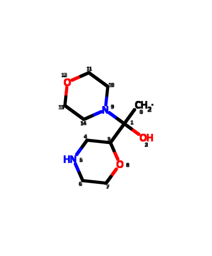 [CH2]C(O)(C1CNCCO1)N1CCOCC1